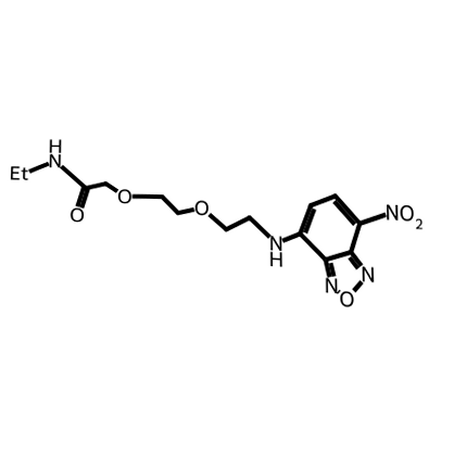 CCNC(=O)COCCOCCNc1ccc([N+](=O)[O-])c2nonc12